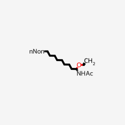 C=COC(CCCCCCCCCCCCCCCCC)NC(C)=O